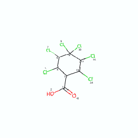 O=C(O)C1C(Cl)C(Cl)C(Cl)(Cl)C(Cl)C1Cl